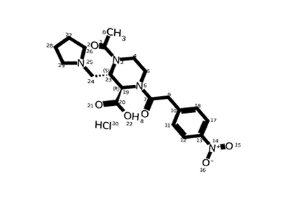 CC(=O)N1CCN(C(=O)Cc2ccc([N+](=O)[O-])cc2)[C@@H](C(=O)O)[C@@H]1CN1CCCC1.Cl